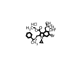 CCOC(=O)c1c(CSC(C)c2ccccc2)n(C2CC2)c2cc(Br)c(O)c(CN(C)C)c12.Cl